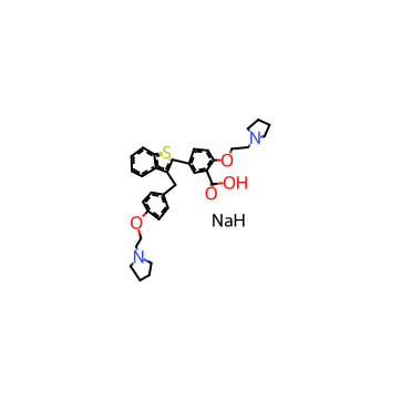 O=C(O)c1cc(-c2sc3ccccc3c2Cc2ccc(OCCN3CCCC3)cc2)ccc1OCCN1CCCC1.[NaH]